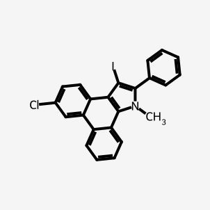 Cn1c(-c2ccccc2)c(I)c2c3ccc(Cl)cc3c3ccccc3c21